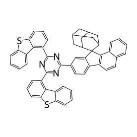 c1ccc2c3c(ccc2c1)-c1ccc(-c2nc(-c4cccc5sc6ccccc6c45)nc(-c4cccc5sc6ccccc6c45)n2)cc1C31C2CC3CC(C2)CC1C3